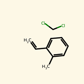 C=Cc1ccccc1C.ClCCl